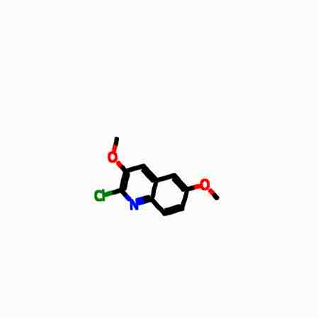 COc1ccc2nc(Cl)c(OC)cc2c1